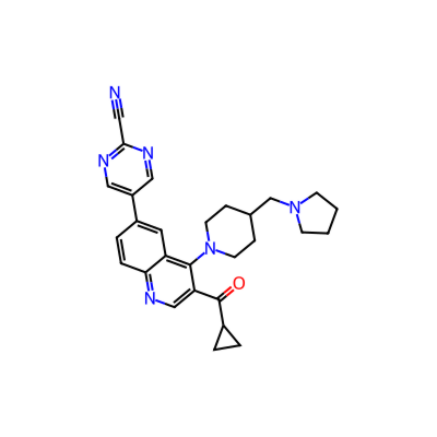 N#Cc1ncc(-c2ccc3ncc(C(=O)C4CC4)c(N4CCC(CN5CCCC5)CC4)c3c2)cn1